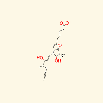 CC#CCC(C)[C@H](O)/C=C/[C@@H]1c2cc(CCCCC(=O)[O-])oc2C[C@H]1O.[K+]